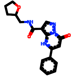 O=C(NCC1CCCO1)c1cnn2c(=O)cc(-c3ccccc3)[nH]c12